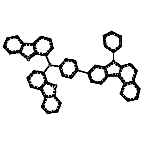 c1ccc(-n2c3cc(-c4ccc(N(c5cccc6c5oc5ccccc56)c5cccc6c5oc5ccccc56)cc4)ccc3c3c4ccccc4ccc32)cc1